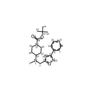 CN(Cc1nc(-c2ccncc2)no1)C1CCN(C(=O)OC(C)(C)C)CC1